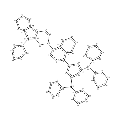 C1=CC(c2ccc(-c3cc(N(c4ccccc4)c4ccccc4)cc(N(c4ccccc4)c4ccccc4)c3)c3ccccc23)Cc2c1c1ccccc1n2-c1ccccc1